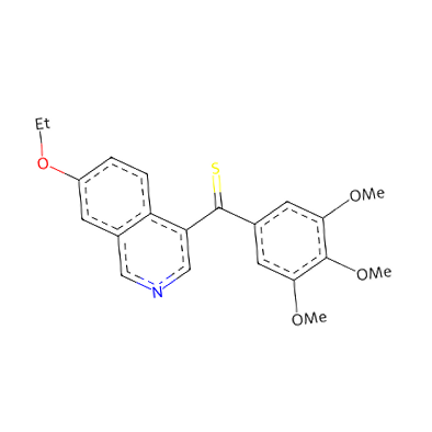 CCOc1ccc2c(C(=S)c3cc(OC)c(OC)c(OC)c3)cncc2c1